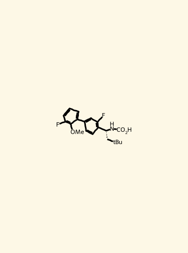 COc1c(F)cccc1-c1ccc([C@@H](CC(C)(C)C)NC(=O)O)c(F)c1